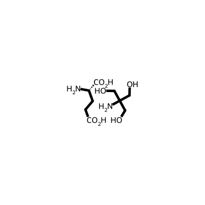 NC(CO)(CO)CO.N[C@@H](CCC(=O)O)C(=O)O